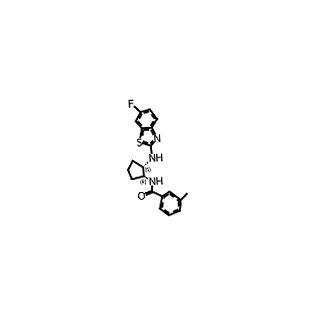 Cc1cccc(C(=O)N[C@@H]2CCC[C@@H]2Nc2nc3ccc(F)cc3s2)c1